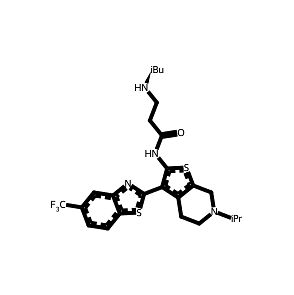 CC[C@H](C)NCCC(=O)Nc1sc2c(c1-c1nc3cc(C(F)(F)F)ccc3s1)CCN(C(C)C)C2